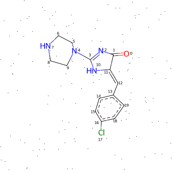 O=C1N=C(N2CCNCC2)NC1=Cc1ccc(Cl)cc1